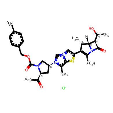 COC(=O)[C@@H]1C[C@@H](n2c[n+]3cc(C4=C(C(=O)O)N5C(=O)[C@H]([C@@H](C)O)[C@H]5[C@H]4C)sc3c2SC)CN1C(=O)OCc1ccc([N+](=O)[O-])cc1.[Cl-]